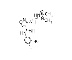 CN=S(C)(=O)NCCNc1nonc1C(=N)Nc1ccc(F)c(Br)c1